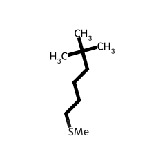 CSCCCCC(C)(C)C